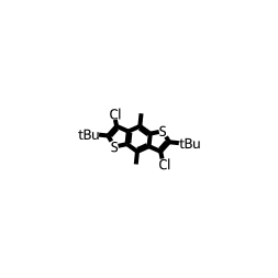 Cc1c2sc(C(C)(C)C)c(Cl)c2c(C)c2sc(C(C)(C)C)c(Cl)c12